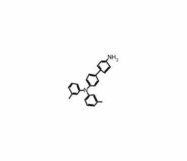 Cc1cccc(N(c2ccc(-c3ccc(N)cc3)cc2)c2cccc(C)c2)c1